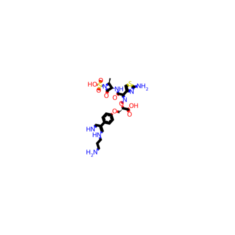 C[C@H]1[C@H](NC(=O)/C(=N\O[C@@H](COc2ccc(/C(C=N)=C/NCCCN)cc2)C(=O)O)c2csc(N)n2)C(=O)N1S(=O)(=O)O